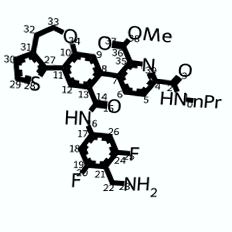 CCCNC(=O)c1ccc(-c2cc3c(cc2C(=O)Nc2cc(F)c(CN)c(F)c2)-c2sccc2CCO3)c(C(=O)OC)n1